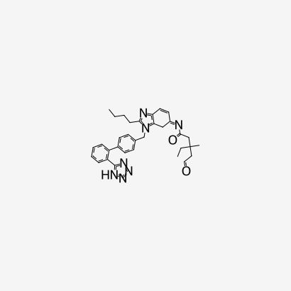 CCCCc1nc2c(n1Cc1ccc(-c3ccccc3-c3nnn[nH]3)cc1)CC(=NC(=O)CC(C)(CC)CC=O)C=C2